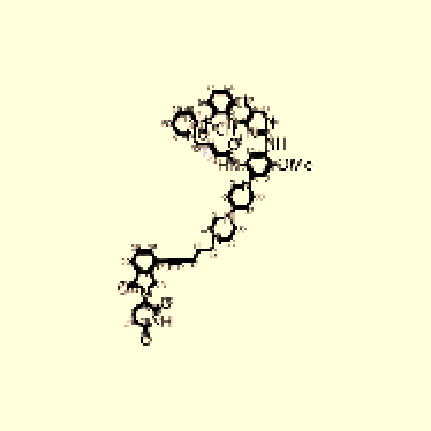 COc1cc(N2CCC(N3CCN(CCCC#Cc4cccc5c4CN(C4CCC(=O)NC4=O)C5=O)CC3)CC2)c(NC(=O)/C=C/CN2CCCCC2)cc1Nc1ncc(Cl)c(Nc2ccccc2P(C)(C)=O)n1